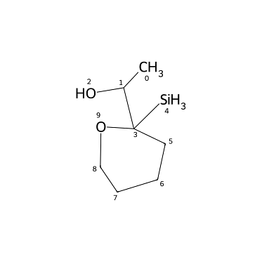 CC(O)C1([SiH3])CCCCO1